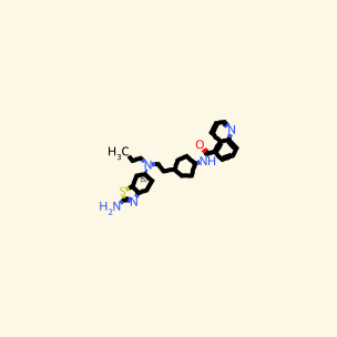 CCCN(CCC1CCC(NC(=O)c2cccc3ncccc23)CC1)[C@H]1CCC2N=C(N)SC2C1